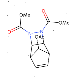 COC(=O)N1C2C3C=CC(C3OC(C)=O)C2N1C(=O)OC